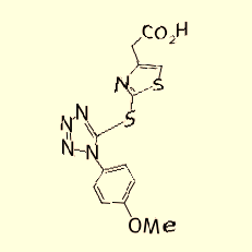 COc1ccc(-n2nnnc2Sc2nc(CC(=O)O)cs2)cc1